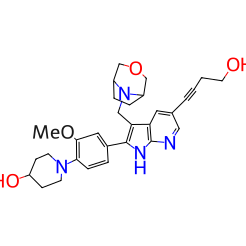 COc1cc(-c2[nH]c3ncc(C#CCCO)cc3c2CN2C3CCC2COC3)ccc1N1CCC(O)CC1